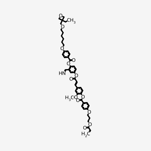 C=CC(=O)OCCCOc1ccc(C(=O)Oc2ccc(/C=C/C(=O)Oc3ccc(OC(=O)c4ccc(OCCCCCCOCC5(CC)COC5)cc4)c(C=N)c3)cc2OC)cc1